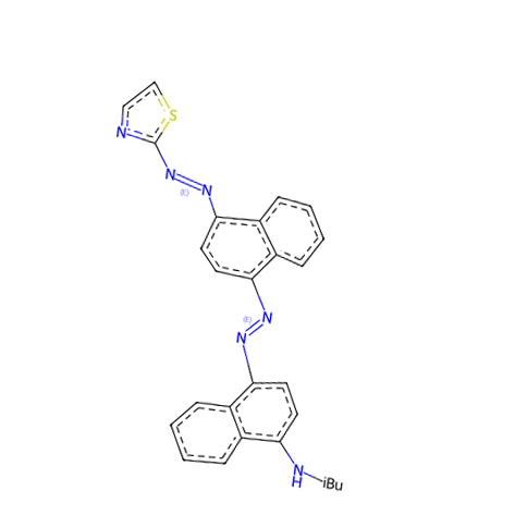 CCC(C)Nc1ccc(/N=N/c2ccc(/N=N/c3nccs3)c3ccccc23)c2ccccc12